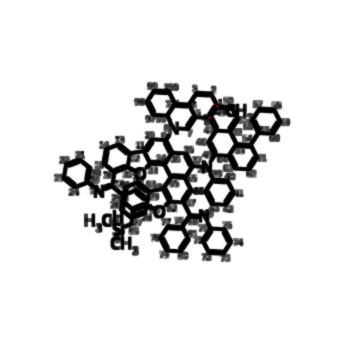 Cc1ccc2c(c1)=CN(c1cc3c4cccc(/C(=N\c5ccccc5)c5ccccc5)c4oc3c3c1cc(N(c1ccccc1)c1cc4ccccc4c4c(-c5ccccc5)cccc14)c1cc(/C(=N/c4ccccc4)c4ccccc4)c4oc5c(C[SiH](C)C)cccc5c4c13)C1C=CC=CC=21